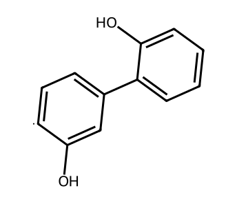 Oc1[c]ccc(-c2ccccc2O)c1